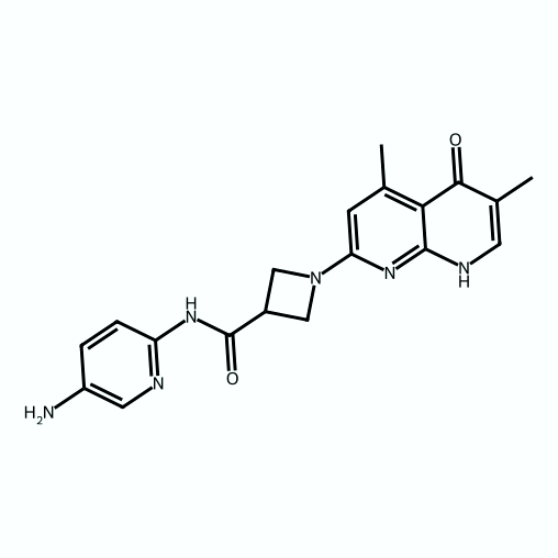 Cc1c[nH]c2nc(N3CC(C(=O)Nc4ccc(N)cn4)C3)cc(C)c2c1=O